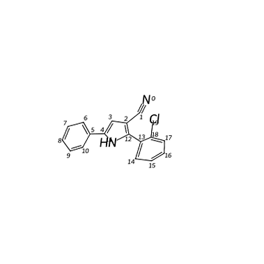 N#Cc1cc(-c2ccccc2)[nH]c1-c1ccccc1Cl